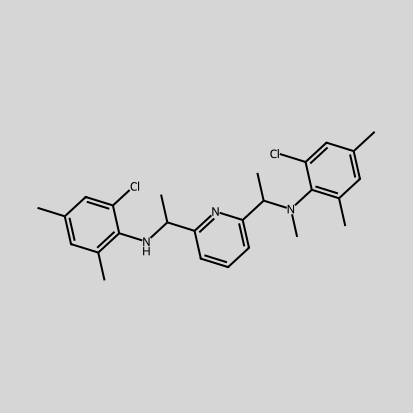 Cc1cc(C)c(NC(C)c2cccc(C(C)N(C)c3c(C)cc(C)cc3Cl)n2)c(Cl)c1